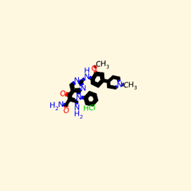 COc1cc(C2CCN(C)CC2)ccc1Nc1ncc2c(=O)c(C(N)=O)c(N)n(-c3ccccc3)c2n1.Cl